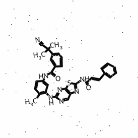 Cc1ccc(NC(=O)c2cccc(C(C)(C)C#N)c2)cc1Nc1ncc2nc(NC(=O)/C=C/c3ccccc3)sc2n1